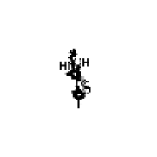 Cc1cc(N2CCOc3cc(F)ccc3C2)cc(C)c1NC(O)CC(C)(C)C